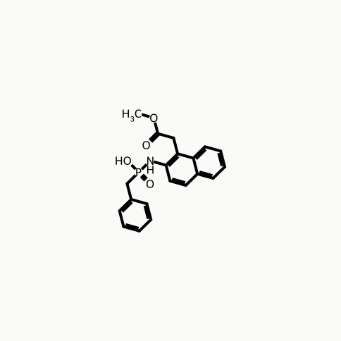 COC(=O)Cc1c(NP(=O)(O)Cc2ccccc2)ccc2ccccc12